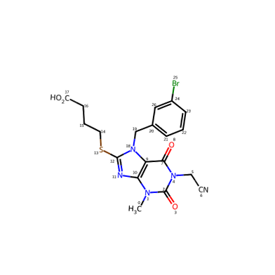 Cn1c(=O)n(CC#N)c(=O)c2c1nc(SCCCC(=O)O)n2Cc1cccc(Br)c1